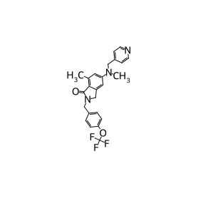 Cc1cc(N(C)Cc2ccncc2)cc2c1C(=O)N(Cc1ccc(OC(F)(F)F)cc1)C2